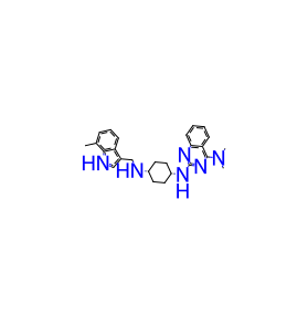 Cc1cccc2c(CN[C@H]3CC[C@@H](Nc4nc(N(C)C)c5ccccc5n4)CC3)c[nH]c12